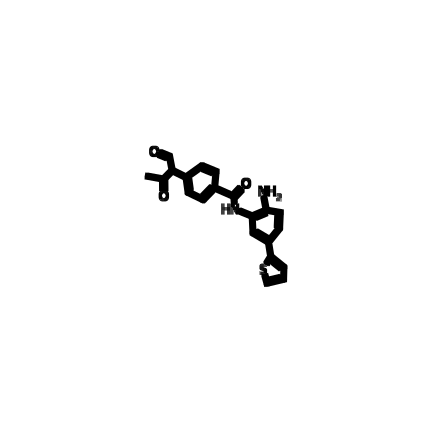 CC(=O)C(C=O)c1ccc(C(=O)Nc2cc(-c3cccs3)ccc2N)cc1